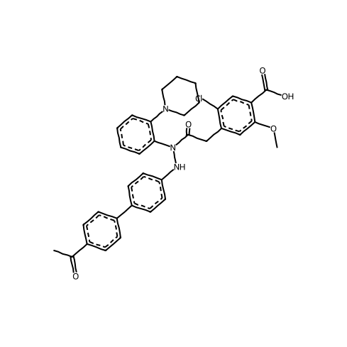 COc1cc(CC(=O)N(Nc2ccc(-c3ccc(C(C)=O)cc3)cc2)c2ccccc2N2CCCCC2)c(Cl)cc1C(=O)O